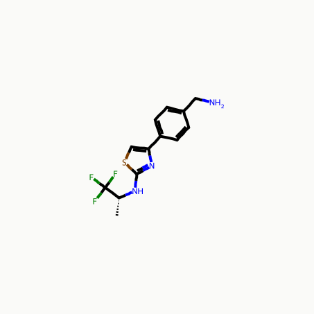 C[C@@H](Nc1nc(-c2ccc(CN)cc2)cs1)C(F)(F)F